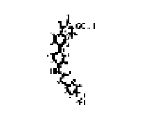 CCOc1ccc(CC(=O)Nc2ccc(-c3ccc(C(=O)N(C)[C@H](C(=O)O)C(C)C)cc3)cc2)cc1